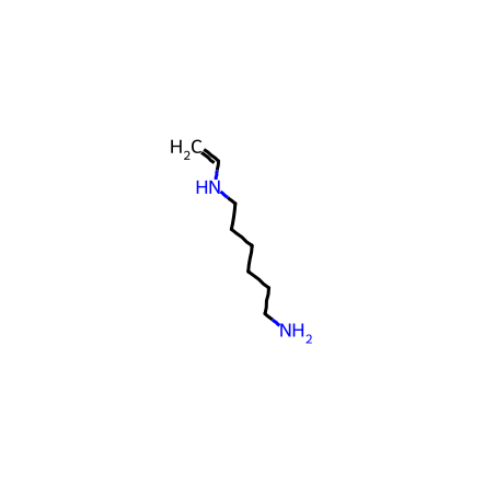 C=CNCCCCCCN